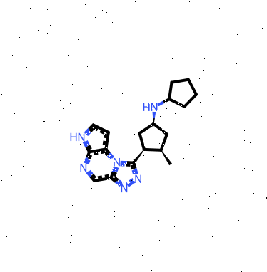 C[C@@H]1C[C@H](NC2CCCC2)C[C@@H]1c1nnc2cnc3[nH]ccc3n12